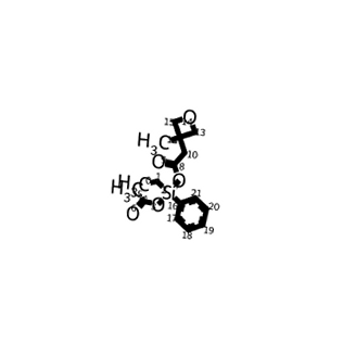 CC[Si](OC(C)=O)(OC(=O)CC1(C)COC1)c1ccccc1